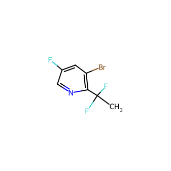 CC(F)(F)c1ncc(F)cc1Br